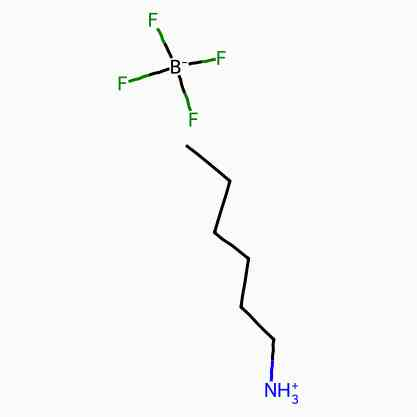 CCCCCC[NH3+].F[B-](F)(F)F